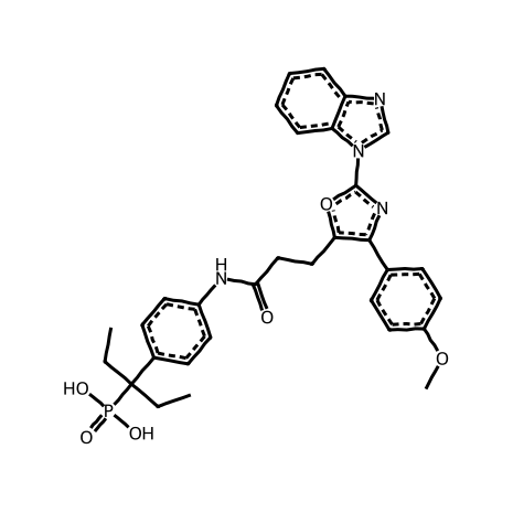 CCC(CC)(c1ccc(NC(=O)CCc2oc(-n3cnc4ccccc43)nc2-c2ccc(OC)cc2)cc1)P(=O)(O)O